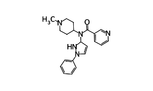 CN1CCC(N(C(=O)c2cccnc2)C2C=CN(c3ccccc3)N2)CC1